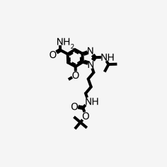 COc1cc(C(N)=O)cc2nc(NC(C)C)n(CCCCNC(=O)OC(C)(C)C)c12